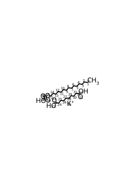 CCCCCCCCCCCCCCCCOP(=O)([O-])O.O=C(O)CCCCCCCCC(=O)O.[K+]